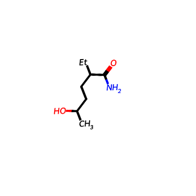 CCC(CCC(C)O)C(N)=O